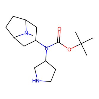 CN1C2CCC1CC(N(C(=O)OC(C)(C)C)C1CCNC1)C2